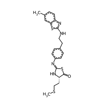 CSCC[C@@H]1N/C(=N/c2ccc(CCNc3nc4ccc(C)cc4s3)cc2)SC1=O